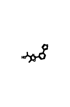 Cc1oc(-c2cccc(-c3ccsc3)c2)nc1C(C)O